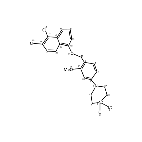 CC[N+]1([O-])CCN(c2ccc(COc3cccc4c(Cl)c(Cl)ccc34)c(OC)c2)CC1